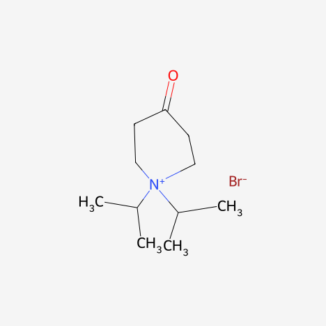 CC(C)[N+]1(C(C)C)CCC(=O)CC1.[Br-]